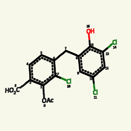 CC(=O)Oc1c(C(=O)O)ccc(Cc2cc(Cl)cc(Cl)c2O)c1Cl